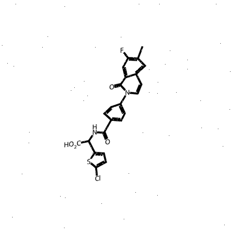 Cc1cc2ccn(-c3ccc(C(=O)NC(C(=O)O)c4ccc(Cl)s4)cc3)c(=O)c2cc1F